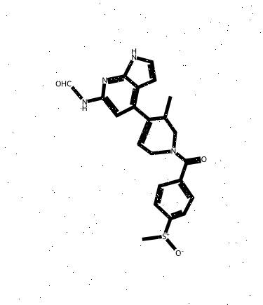 CC1CN(C(=O)c2ccc([S+](C)[O-])cc2)CC=C1c1cc(NC=O)nc2[nH]ccc12